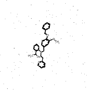 COc1cc(CN(CCc2ccccn2)c2ccccc2C(C)O)ccc1OCc1ccccc1